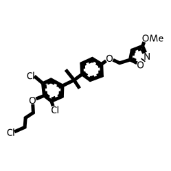 COc1cc(COc2ccc(C(C)(C)c3cc(Cl)c(OCCCCl)c(Cl)c3)cc2)on1